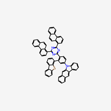 c1ccc2cc3c(cc2c1)c1ccccc1n3-c1ccc(-c2nc(-c3cccc4c3ccc3ccccc34)nc(-c3cccc4c3ccc3ccccc34)n2)c(-c2cccc3c2sc2ccccc23)c1